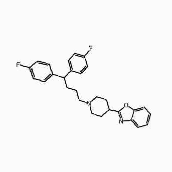 Fc1ccc(C(CCCN2CCC(c3nc4ccccc4o3)CC2)c2ccc(F)cc2)cc1